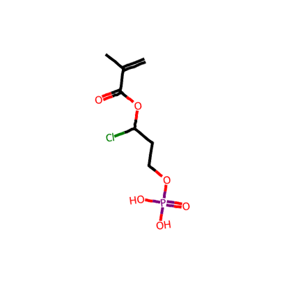 C=C(C)C(=O)OC(Cl)CCOP(=O)(O)O